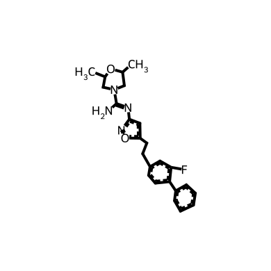 CC1CN(C(N)=Nc2cc(CCc3ccc(-c4ccccc4)c(F)c3)on2)CC(C)O1